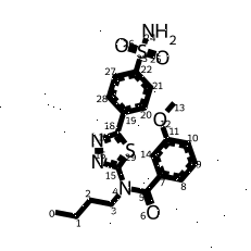 CCCCN(C(=O)c1cccc(OC)c1)c1nnc(-c2ccc(S(N)(=O)=O)cc2)s1